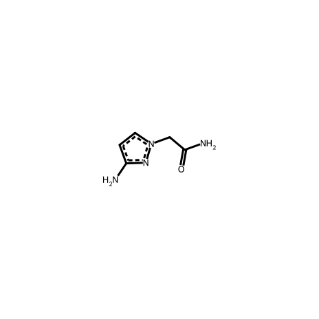 NC(=O)Cn1ccc(N)n1